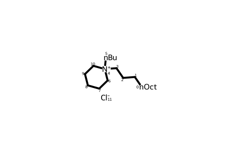 CCCCCCCCCCC[N+]1(CCCC)CCCCC1.[Cl-]